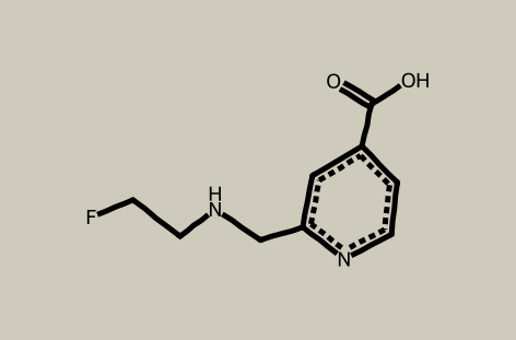 O=C(O)c1ccnc(CNCCF)c1